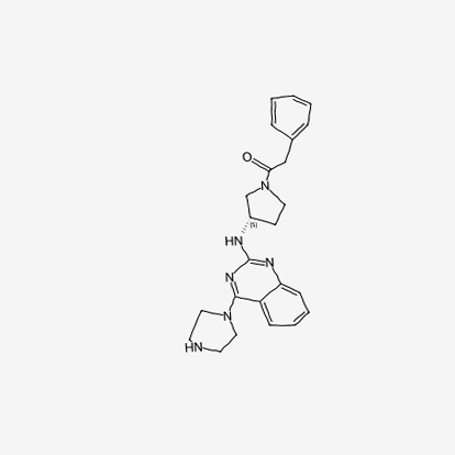 O=C(Cc1ccccc1)N1CC[C@H](Nc2nc(N3CCNCC3)c3ccccc3n2)C1